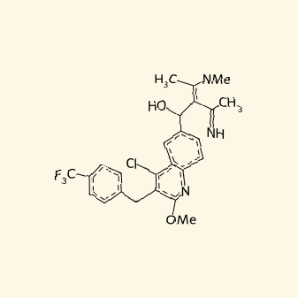 CN/C(C)=C(\C(C)=N)C(O)c1ccc2nc(OC)c(Cc3ccc(C(F)(F)F)cc3)c(Cl)c2c1